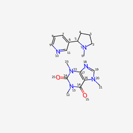 CN1CCCC1c1cccnc1.Cn1c(=O)c2c(ncn2C)n(C)c1=O